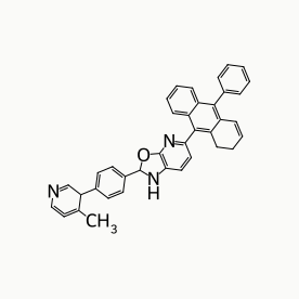 CC1=C=CN=CC1c1ccc(C2Nc3ccc(-c4c5c(c(-c6ccccc6)c6ccccc46)C=CCC5)nc3O2)cc1